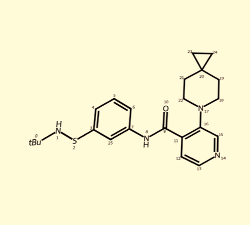 CC(C)(C)NSc1cccc(NC(=O)c2ccncc2N2CCC3(CC2)CC3)c1